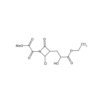 COC(=O)C(=O)N1C(=O)C(CC(O)C(=O)OCC(Cl)(Cl)Cl)C1Cl